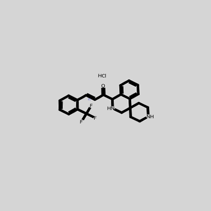 Cl.O=C(/C=C/c1ccccc1C(F)(F)F)C1NCC2(CCNCC2)c2ccccc21